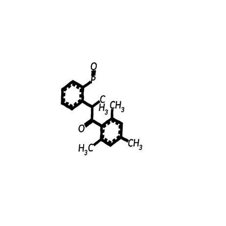 Cc1cc(C)c(C(=O)C(C)c2ccccc2P=O)c(C)c1